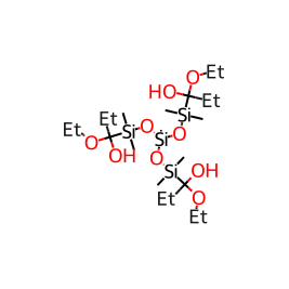 CCOC(O)(CC)[Si](C)(C)O[Si](O[Si](C)(C)C(O)(CC)OCC)O[Si](C)(C)C(O)(CC)OCC